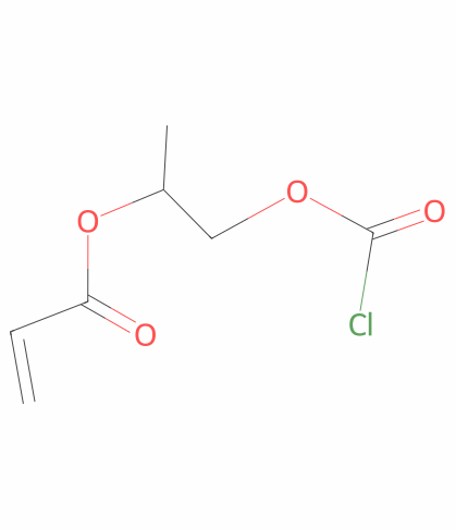 C=CC(=O)OC(C)COC(=O)Cl